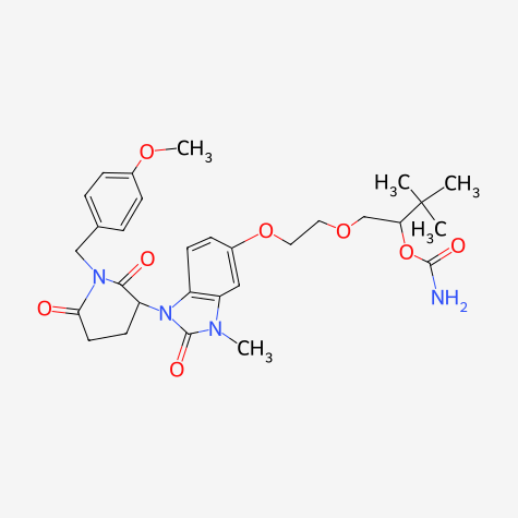 COc1ccc(CN2C(=O)CCC(n3c(=O)n(C)c4cc(OCCOCC(OC(N)=O)C(C)(C)C)ccc43)C2=O)cc1